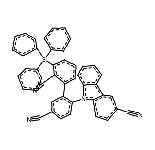 N#Cc1ccc(-n2c3ccccc3c3cc(C#N)ccc32)c(-c2cccc([Si](c3ccccc3)(c3ccccc3)c3ccccc3)c2C#N)c1